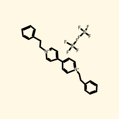 F[B-](F)(F)F.F[B-](F)(F)F.c1ccc(CC[n+]2ccc(-c3cc[n+](CCc4ccccc4)cc3)cc2)cc1